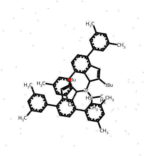 Cc1cc(C)cc(-c2ccc(-c3cc(C)cc(C)c3)c3c2C=C(C(C)(C)C)[CH]3[Zr]([CH]2C(C(C)(C)C)=Cc3c(-c4cc(C)cc(C)c4)ccc(-c4cc(C)cc(C)c4)c32)[SiH](C)C)c1